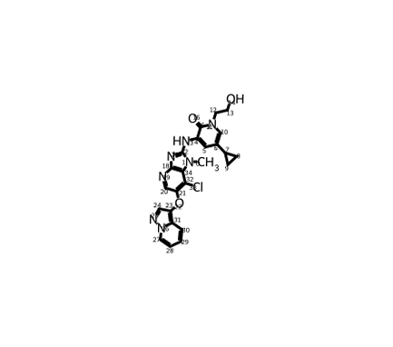 Cn1c(Nc2cc(C3CC3)cn(CCO)c2=O)nc2ncc(Oc3cnn4ccccc34)c(Cl)c21